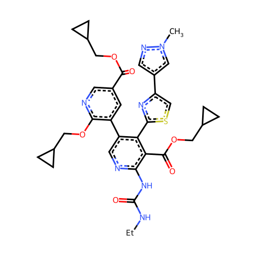 CCNC(=O)Nc1ncc(-c2cc(C(=O)OCC3CC3)cnc2OCC2CC2)c(-c2nc(-c3cnn(C)c3)cs2)c1C(=O)OCC1CC1